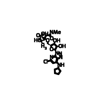 CNC(=O)CC(C)(OC[C@H]1O[C@@H](n2nnc3c(NC4CCCC4)cc(Cl)nc32)[C@H](O)[C@@H]1O)P(=O)(O)O